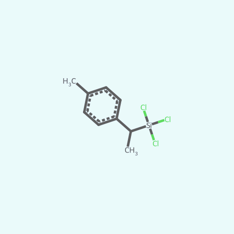 Cc1ccc(C(C)[Si](Cl)(Cl)Cl)cc1